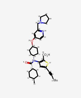 CC(C)(C)C#Cc1cc(N(C(=O)[C@H]2CC[C@H](C)CC2)[C@H]2CC[C@H](Oc3ccnc(CN4CCCC4)c3)CC2)c(C(=O)O)s1